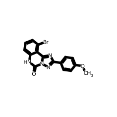 COc1ccc(-c2nc3c4c(Br)cccc4[nH]c(=O)n3n2)cc1